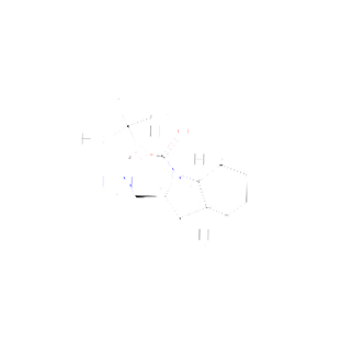 CC(C)(C)OC(=O)N1[C@H](CN)C[C@@H]2CCCC[C@@H]21